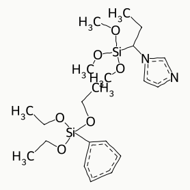 CCC(n1ccnc1)[Si](OC)(OC)OC.CCO[Si](OCC)(OCC)c1ccccc1